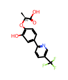 C[C@H](Oc1ccc(-c2ccc(C(F)(F)F)cn2)cc1O)C(=O)O